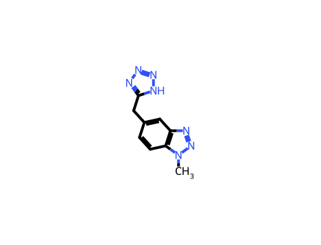 Cn1nnc2cc(Cc3nnn[nH]3)ccc21